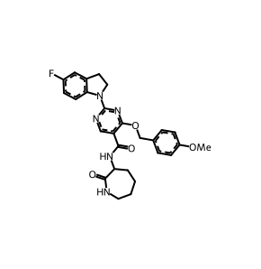 COc1ccc(COc2nc(N3CCc4cc(F)ccc43)ncc2C(=O)NC2CCCCNC2=O)cc1